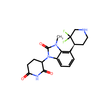 Cn1c(=O)n(C2CCC(=O)NC2=O)c2cccc([C@@H]3CCNCC3(F)F)c21